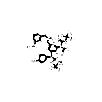 COc1cccc(CN(C)Cc2cc(N(C(=O)OC(C)(C)C)c3ccc(C)cc3)nc(N(C(=O)O)C(=O)OC(C)(C)C)n2)c1